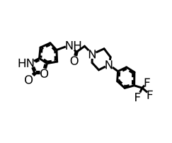 O=C(CN1CCN(c2ccc(C(F)(F)F)cc2)CC1)Nc1ccc2[nH]c(=O)oc2c1